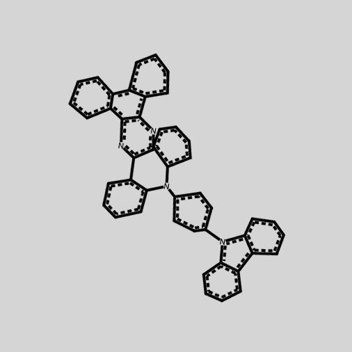 c1ccc(N(c2ccc(-n3c4ccccc4c4ccccc43)cc2)c2ccccc2-c2cnc3c4ccccc4c4ccccc4c3n2)cc1